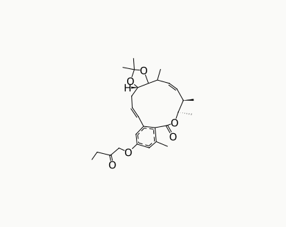 CCC(=O)COc1cc(C)c2c(c1)/C=C/C[C@@H]1OC(C)(C)OC1C(C)/C=C\[C@@H](C)[C@H](C)OC2=O